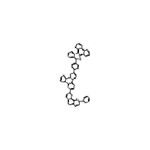 c1ccc(-c2ccc3ccc4ccc(-c5ccc6c7ccc(-c8ccc(-c9nc%10c%11ccccc%11c%11ccccc%11c%10c%10ccccc9%10)cc8)cc7c7ccccc7c6c5)nc4c3n2)cc1